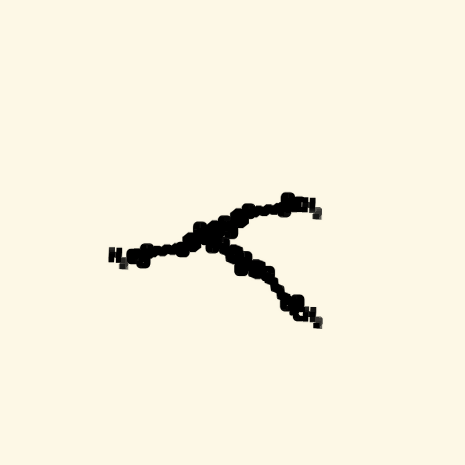 C=CC(=O)OCCCCCCOc1ccc(C(=O)Oc2ccc(COC(=O)c3cc(OC(=O)c4ccc(OCCCCCCOC(=O)C=C)cc4)ccc3OC(=O)c3ccc(OCCCCCCOC(=O)C=C)cc3)cc2)cc1